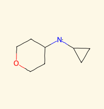 C1CC([N]C2CC2)CCO1